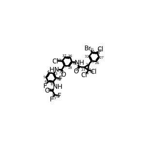 O=C(Nc1ccc(F)c(NC(=O)C(F)F)c1F)c1cc(NC(=O)C2C(c3ccc(Cl)c(Br)c3)C2(Cl)Cl)ccc1Cl